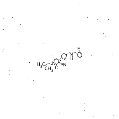 CC(C)CCn1ccc(-c2ccc(CNCc3ccccc3F)cc2)c(C#N)c1=O